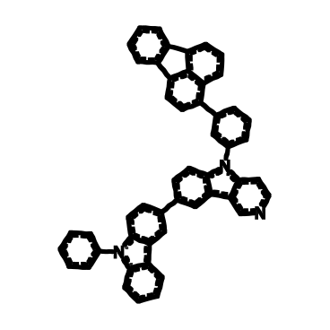 c1ccc(-n2c3ccccc3c3cc(-c4ccc5c(c4)c4cnccc4n5-c4cccc(-c5ccc6c7c(cccc57)-c5ccccc5-6)c4)ccc32)cc1